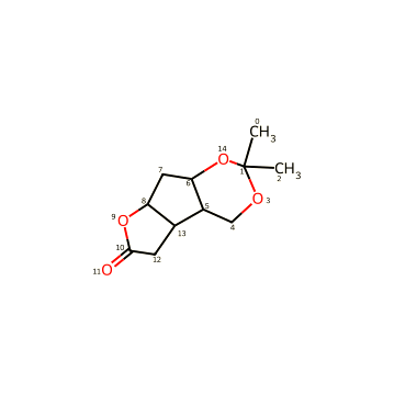 CC1(C)OCC2C(CC3OC(=O)CC32)O1